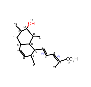 C/C(=C\C=C\C1C(C)C=CC2CC(C)C(O)C(C)C21)C(=O)O